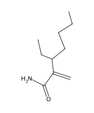 C=C(C(N)=O)C(CC)CCCC